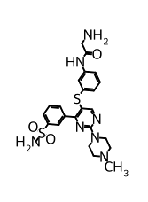 CN1CCN(c2ncc(Sc3cccc(NC(=O)CN)c3)c(-c3cccc(S(N)(=O)=O)c3)n2)CC1